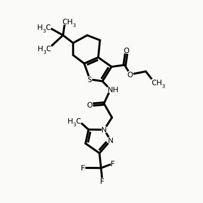 CCOC(=O)c1c(NC(=O)Cn2nc(C(F)(F)F)cc2C)sc2c1CCC(C(C)(C)C)C2